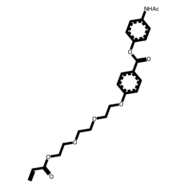 C=CC(=O)OCCOCCOCCOc1ccc(C(=O)Oc2ccc(NC(C)=O)cc2)cc1